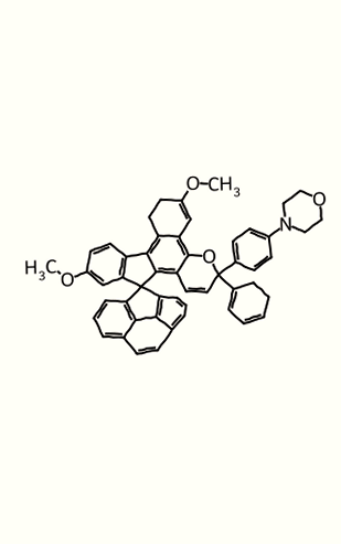 COC1=Cc2c(c3c(c4c2OC(C2=CC=CCC2)(c2ccc(N5CCOCC5)cc2)C=C4)C2(c4cc(OC)ccc4-3)c3cccc4ccc5cccc2c5c34)CC1